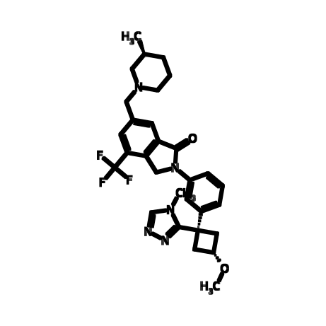 CO[C@H]1C[C@](c2cccc(N3Cc4c(cc(CN5CCC[C@H](C)C5)cc4C(F)(F)F)C3=O)c2)(c2nncn2C)C1